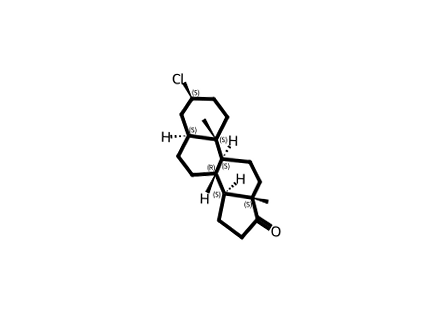 C[C@]12CC[C@H](Cl)C[C@@H]1CC[C@@H]1[C@@H]2CC[C@]2(C)C(=O)CC[C@@H]12